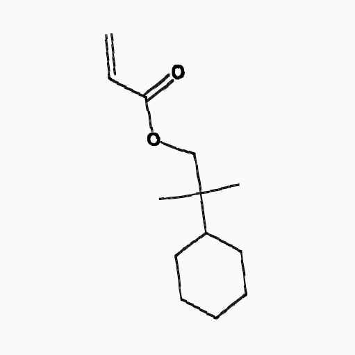 C=CC(=O)OCC(C)(C)C1CCCCC1